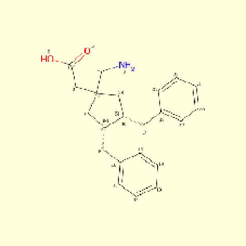 NCC1(CC(=O)O)C[C@@H](Cc2ccccc2)[C@@H](Cc2ccccc2)C1